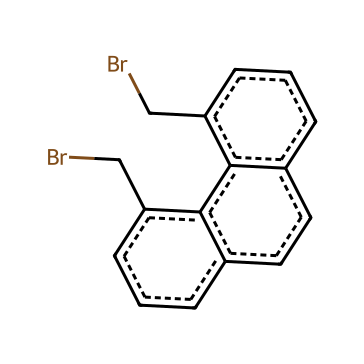 BrCc1cccc2ccc3cccc(CBr)c3c12